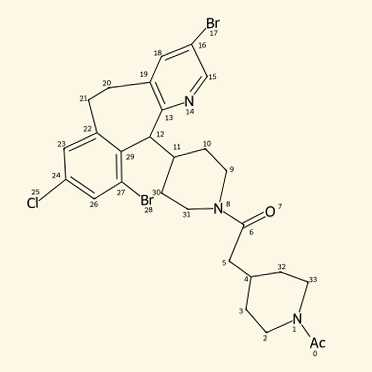 CC(=O)N1CCC(CC(=O)N2CCC(C3c4ncc(Br)cc4CCc4cc(Cl)cc(Br)c43)CC2)CC1